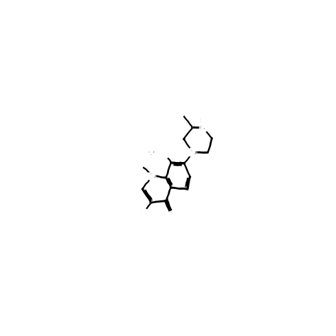 COc1c(N2CCNC(C)C2)ccc2c(=O)c(C(=O)O)cn(F)c12